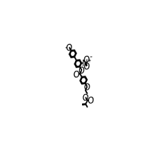 C=C(C)C(=O)OCCOc1ccc(C(=O)Oc2ccc(-c3ccc(OC)cc3)cc2[N+](=O)[O-])cc1